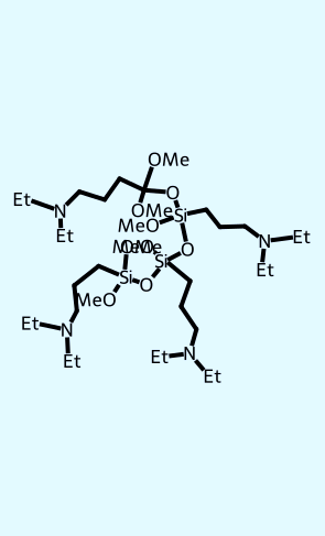 CCN(CC)CCCC(OC)(OC)O[Si](CCCN(CC)CC)(OC)O[Si](CCCN(CC)CC)(OC)O[Si](CCCN(CC)CC)(OC)OC